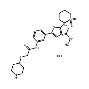 Cl.O=C(C[C@]1(c2ccc(-c3cccc(NC(=O)COC4CCNCC4)c3)s2)CCCCS1(=O)=O)NO